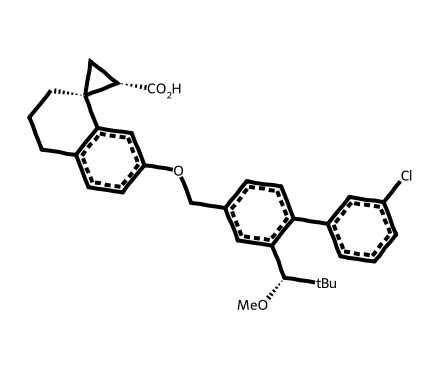 CO[C@H](c1cc(COc2ccc3c(c2)[C@@]2(CCC3)C[C@@H]2C(=O)O)ccc1-c1cccc(Cl)c1)C(C)(C)C